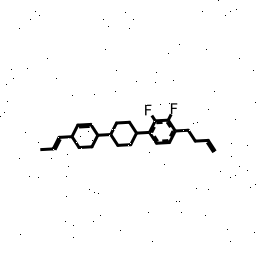 C=CCCc1ccc(C2CCC(C3C=CC(/C=C/C)CC3)CC2)c(F)c1F